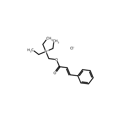 CC[N+](CC)(CC)COC(=O)C=Cc1ccccc1.[Cl-]